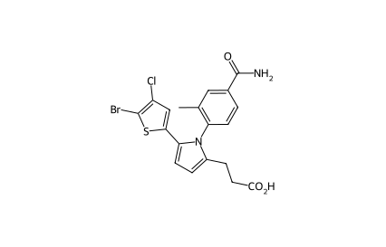 Cc1cc(C(N)=O)ccc1-n1c(CCC(=O)O)ccc1-c1cc(Cl)c(Br)s1